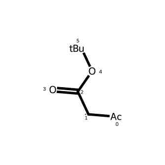 CC(=O)[CH]C(=O)OC(C)(C)C